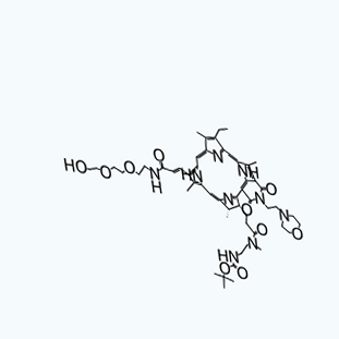 CCC1=C(C)c2cc3[nH]c(cc4nc(c5c6[nH]c(cc1n2)c(C)c6C(=O)N(CCN1CCOCC1)C5=O)[C@@H](CCC(=O)N(C)CCNC(=O)OC(C)(C)C)[C@@H]4C)c(C)c3/C=C/C(=O)NCCOCCOCCO